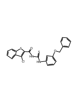 O=C(NC(=S)Nc1cccc(OCc2ccccc2)c1)c1sc2ccccc2c1Cl